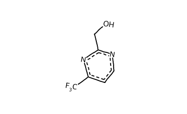 OCc1nccc(C(F)(F)F)n1